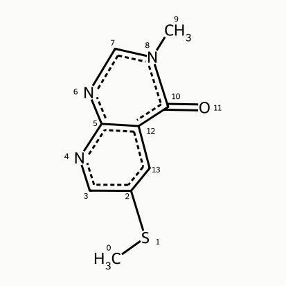 CSc1cnc2ncn(C)c(=O)c2c1